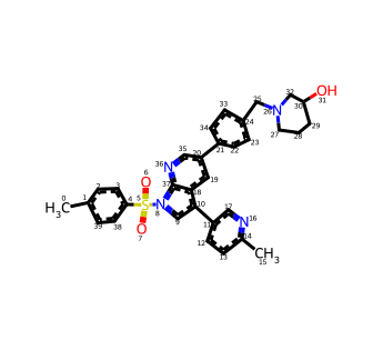 Cc1ccc(S(=O)(=O)n2cc(-c3ccc(C)nc3)c3cc(-c4ccc(CN5CCCC(O)C5)cc4)cnc32)cc1